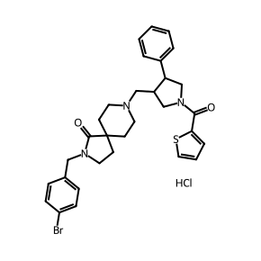 Cl.O=C(c1cccs1)N1CC(CN2CCC3(CC2)CCN(Cc2ccc(Br)cc2)C3=O)C(c2ccccc2)C1